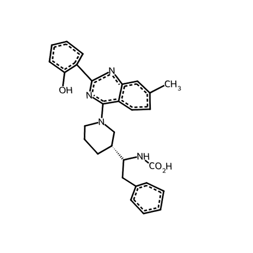 Cc1ccc2c(N3CCC[C@@H](C(Cc4ccccc4)NC(=O)O)C3)nc(-c3ccccc3O)nc2c1